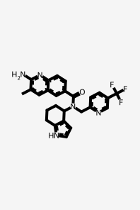 Cc1cc2cc(C(=O)N(Cc3ccc(C(F)(F)F)cn3)C3CCCc4[nH]ccc43)ccc2nc1N